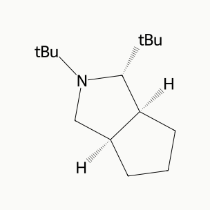 CC(C)(C)[C@@H]1[C@H]2CCC[C@H]2CN1C(C)(C)C